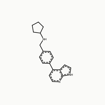 c1cc(-c2ccc(CNC3CCCC3)cc2)c2cc[nH]c2n1